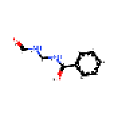 O=CNCNC(=O)c1ccccc1